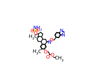 CCOC(=O)COc1cc2c(cc1C)C1CCC3(C)C(OS(N)(=O)=O)CCC3C1C/C2=N\OCc1ccc2c(c1)=NCN=2